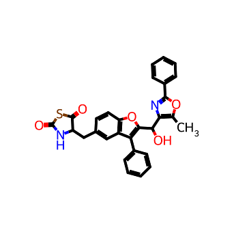 Cc1oc(-c2ccccc2)nc1C(O)c1oc2ccc(CC3NC(=O)SC3=O)cc2c1-c1ccccc1